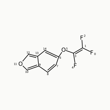 FC(F)=C(F)Oc1ccc2cocc2c1